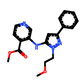 COCCn1nc(-c2ccccc2)cc1Nc1cnccc1C(=O)OC